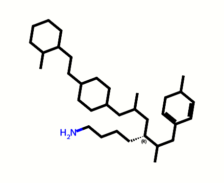 CC1C=CC(CC(C)[C@H](CCCCN)CC(C)CC2CCC(CCC3CCCCC3C)CC2)=CC1